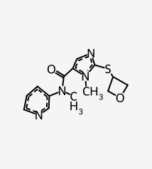 CN(C(=O)c1cnc(SC2COC2)n1C)c1cccnc1